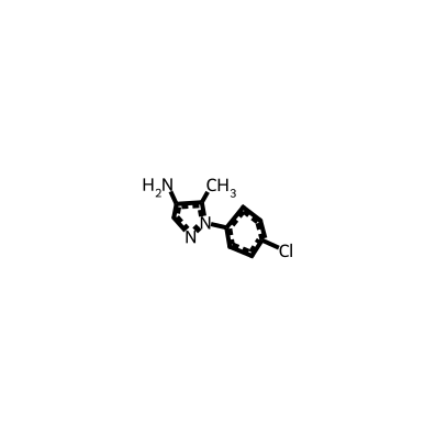 Cc1c(N)cnn1-c1ccc(Cl)cc1